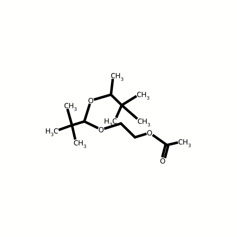 CC(=O)OCCOC(OC(C)C(C)(C)C)C(C)(C)C